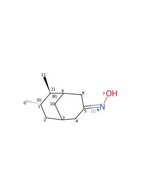 C[C@H]1CC2C/C(=N/O)CC(C2)[C@@H]1C